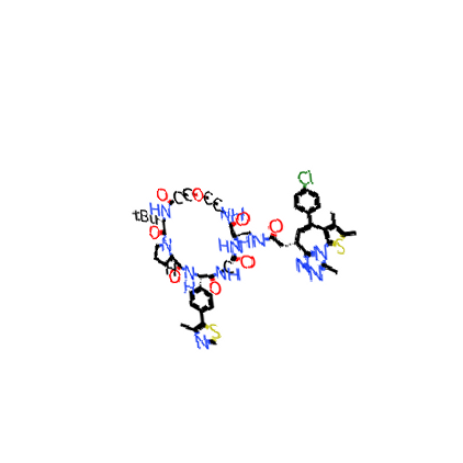 Cc1ncsc1-c1ccc([C@@H]2NC(=O)[C@@H]3CCCN3C(=O)[C@H](C(C)(C)C)NC(=O)CCOCCNC(=O)[C@@H](CNC(=O)C[C@@H]3C=C(c4ccc(Cl)cc4)c4c(sc(C)c4C)-n4c(C)nnc43)NC(=O)CNC2=O)cc1